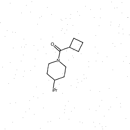 CC(C)C1CCN(C(=O)C2CCC2)CC1